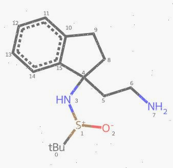 CC(C)(C)[S+]([O-])NC1(CCN)CCc2ccccc21